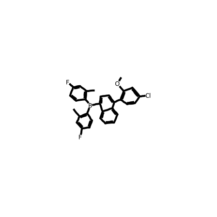 COc1cc(Cl)ccc1-c1ccc(B(c2ccc(F)cc2C)c2ccc(F)cc2C)c2ccccc12